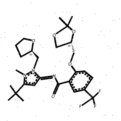 Cn1c(C(C)(C)C)cc(=NC(=O)c2cc(C(F)(F)F)ccc2OC[C@@H]2COC(C)(C)O2)n1C[C@H]1CCCO1